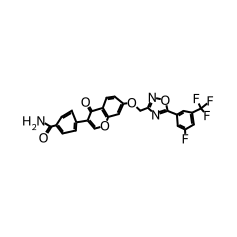 NC(=O)c1ccc(-c2coc3cc(OCc4noc(-c5cc(F)cc(C(F)(F)F)c5)n4)ccc3c2=O)cc1